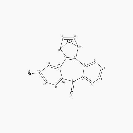 O=c1c2ccccc2c2c(c3cc(Br)ccc13)C1C=CC2O1